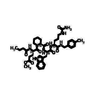 CCCC(=O)N[C@@H](CCC(=O)OC)C(=O)N1CCCC[C@H]1C(=O)N[C@@H](Cc1c[nH]c2ccccc12)C(=O)N[C@@H](CCCNC(N)=O)C(=O)NCc1ccc(C)cc1